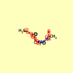 C=CC(=O)OCCOC(=O)c1ccccc1C(=O)OCC(C)OC(=O)NCC1CCCC(CNC(=O)OC(C)COC=O)C1